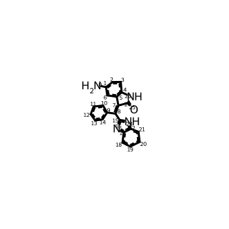 Nc1ccc2c(c1)/C(=C(\c1ccccc1)c1nc3ccccc3[nH]1)C(=O)N2